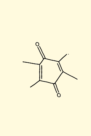 [CH2]C1=C(C)C(=O)C(C)=C(C)C1=O